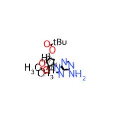 CC1(C)O[C@H]2[C@@H](COC(=O)C(C)(C)C)C[C@@H](n3cnc4c(N)ncnc43)[C@H]2O1